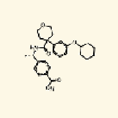 C[C@H](NC(=O)C1(c2cccc(OC3CCCCC3)c2)CCOCC1)c1ccc(C(=O)O)cc1